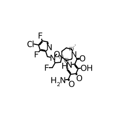 C[C@H]1CC[C@]2(CC(CF)N(Cc3ncc(F)c(Cl)c3F)O2)[C@H]2CN1C(=O)c1c(O)c(=O)c(C(N)=O)cn12